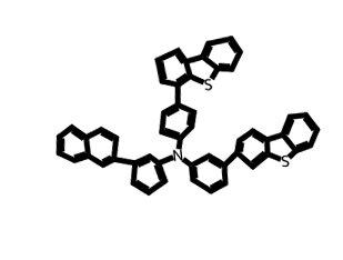 c1cc(-c2ccc3ccccc3c2)cc(N(c2ccc(-c3cccc4c3sc3ccccc34)cc2)c2cccc(-c3ccc4c(c3)sc3ccccc34)c2)c1